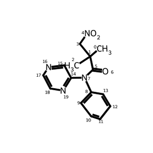 CC(C)(C[N+](=O)[O-])C(=O)N(c1ccccc1)c1cnccn1